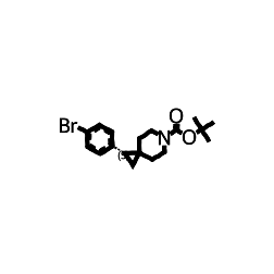 CC(C)(C)OC(=O)N1CCC2(CC1)C[C@@H]2c1ccc(Br)cc1